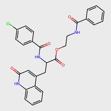 O=C(NCCOC(=O)C(Cc1cc(=O)[nH]c2ccccc12)NC(=O)c1ccc(Cl)cc1)c1ccccc1